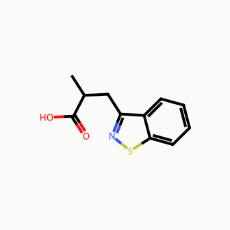 CC(Cc1nsc2ccccc12)C(=O)O